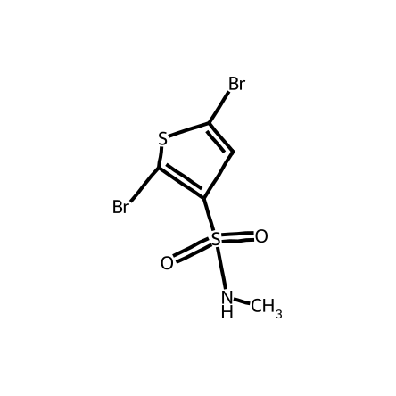 CNS(=O)(=O)c1cc(Br)sc1Br